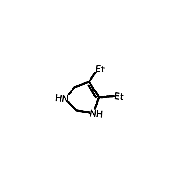 CCC1=C(CC)NCNC1